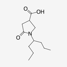 CCCC(CCC)N1CC(C(=O)O)CC1=O